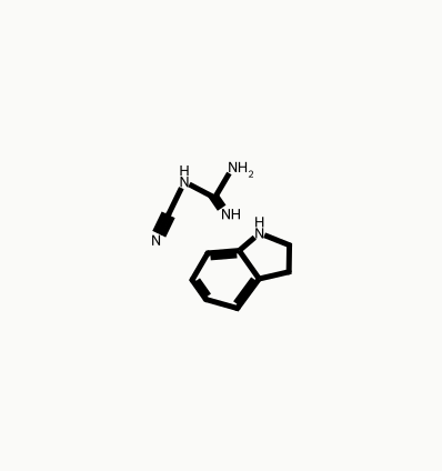 N#CNC(=N)N.c1ccc2c(c1)CCN2